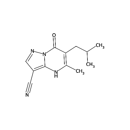 Cc1[nH]c2c(C#N)cnn2c(=O)c1CC(C)C